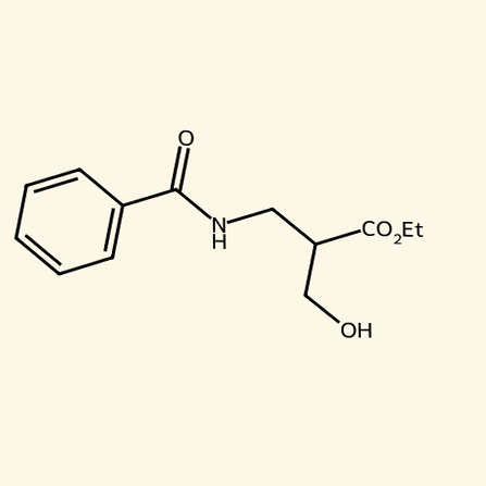 CCOC(=O)C(CO)CNC(=O)c1ccccc1